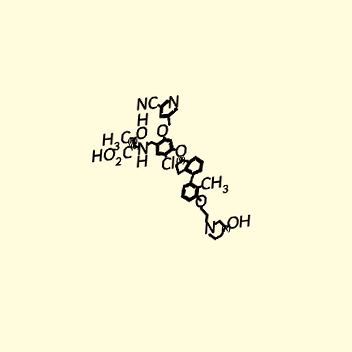 Cc1c(OCCCN2CCC[C@@H](O)C2)cccc1-c1cccc2c1CC[C@@H]2Oc1cc(OCc2cncc(C#N)c2)c(CN[C@H](C(=O)O)[C@@H](C)O)cc1Cl